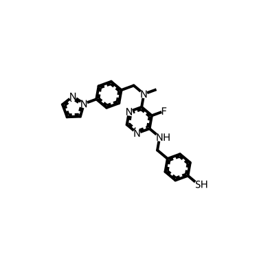 CN(Cc1ccc(-n2cccn2)cc1)c1ncnc(NCc2ccc(S)cc2)c1F